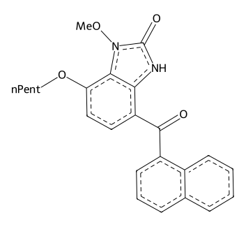 CCCCCOc1ccc(C(=O)c2cccc3ccccc23)c2[nH]c(=O)n(OC)c12